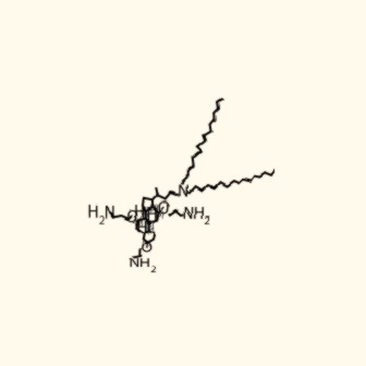 CCCCCCCCCCCCCCCCN(CCCCCCCCCCCCCCCC)CCCC(C)C1CC[C@H]2[C@@H]3[C@H](OCCCN)CC4C[C@H](OCCCN)CC[C@]4(C)[C@H]3C[C@H](OCCCN)[C@]12C